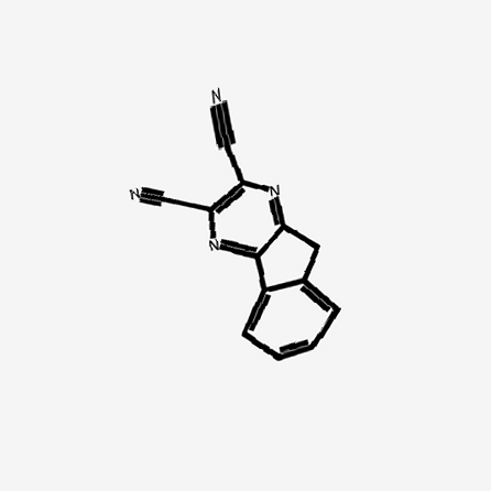 N#Cc1nc2c(nc1C#N)-c1ccccc1C2